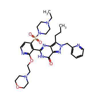 CCCc1c2nc(-c3c(S(=O)(=O)N4CCN(CC)CC4)ccnc3OCCN3CCOCC3)[nH]c(=O)c2nn1Cc1ccccn1